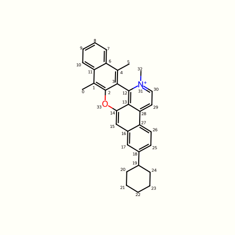 Cc1c2c(c(C)c3ccccc13)-c1c3c(cc4cc(C5CCCCC5)ccc4c3cc[n+]1C)O2